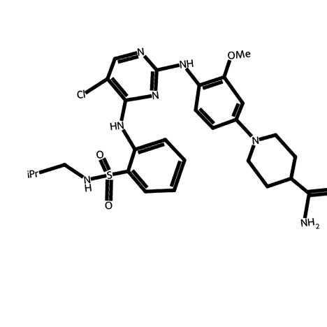 COc1cc(N2CCC(C(N)=O)CC2)ccc1Nc1ncc(Cl)c(Nc2ccccc2S(=O)(=O)NCC(C)C)n1